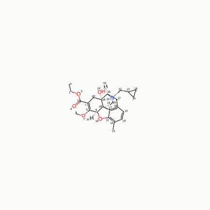 CCOC(=O)C1=C(OC)[C@@H]2Oc3c(C)ccc4c3[C@@]23CCN(CC2CC2)[C@H](C4)[C@]3(O)C1